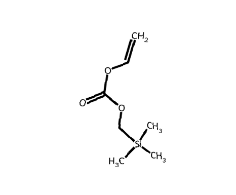 C=COC(=O)OC[Si](C)(C)C